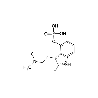 CN(C)CCc1c(F)[nH]c2cccc(OP(=O)(O)O)c12